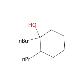 CCCCC1(O)CCCCC1CCC